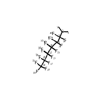 CC(C)C(F)(F)C(F)(F)C(F)(F)C(F)(F)C(F)(F)C(F)(F)F